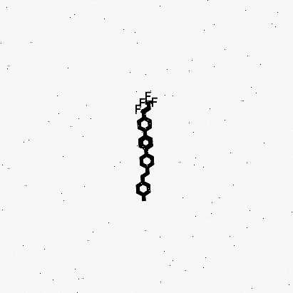 CC1CCC(CCC2CCC(c3ccc(C4CCC(/C(F)=C/C(F)(F)F)CC4)cc3)CC2)CC1